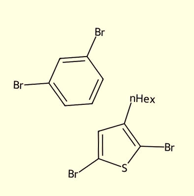 Brc1cccc(Br)c1.CCCCCCc1cc(Br)sc1Br